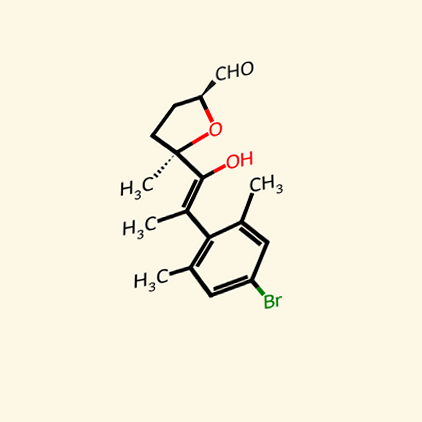 C/C(=C(/O)[C@@]1(C)CC[C@@H](C=O)O1)c1c(C)cc(Br)cc1C